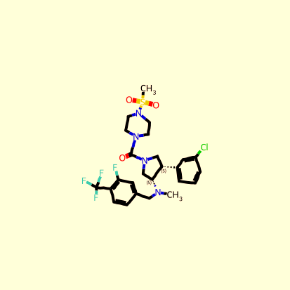 CN(Cc1ccc(C(F)(F)F)c(F)c1)[C@@H]1CN(C(=O)N2CCN(S(C)(=O)=O)CC2)C[C@@H]1c1cccc(Cl)c1